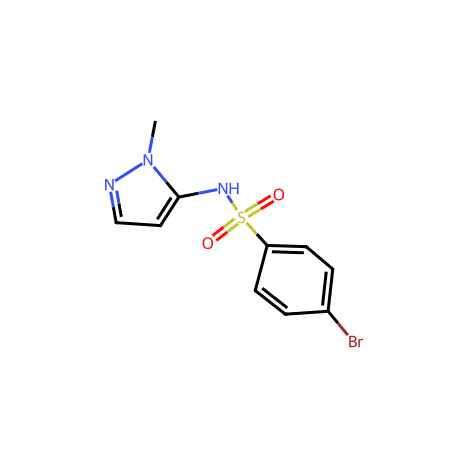 Cn1nccc1NS(=O)(=O)c1ccc(Br)cc1